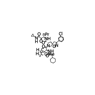 CCC[C@H](NC(=O)[C@@H]1C[C@]2(CC(c3cccc(Cl)c3)=NO2)CN1C(=O)[C@@H](NC(=O)CC1CCCCC1)C(C)(C)OC)C(=O)C(=O)NC1CC1